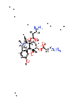 COc1ccc2c3c1O[C@H]1C(OC(=O)CCN)=CC[C@@]4(OC(=O)CCN)[C@@H](C2)N(C)CC[C@]314